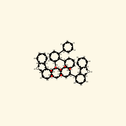 c1ccc(-c2ccccc2-c2c(-c3ccccc3)cccc2N(c2ccc(-c3cccc4oc5ccccc5c34)cc2)c2cccc3oc4ccccc4c23)cc1